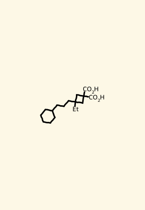 CCC1(CCCC2CCCCC2)CC(C(=O)O)(C(=O)O)C1